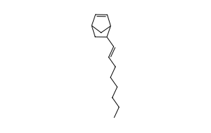 CCCCCCC=CC1CC2C=CC1C2